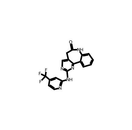 O=C1Cc2cnc(Nc3cc(C(F)(F)F)ccn3)nc2-c2ccccc2N1